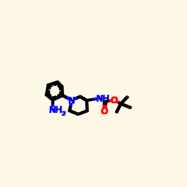 CC(C)(C)OC(=O)NC1CCCN(c2ccccc2N)C1